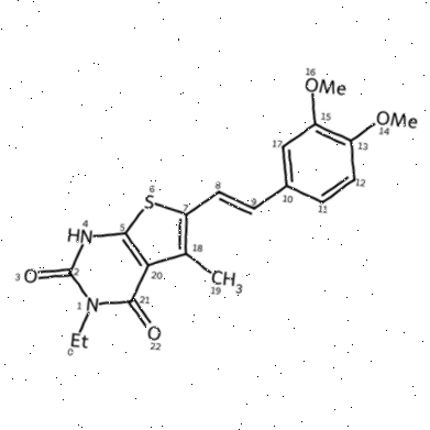 CCn1c(=O)[nH]c2sc(C=Cc3ccc(OC)c(OC)c3)c(C)c2c1=O